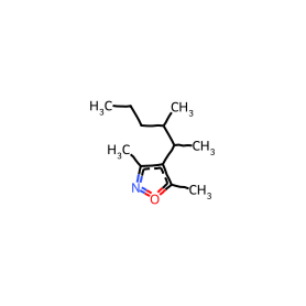 CCCC(C)C(C)c1c(C)noc1C